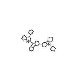 C1=Cc2c(c3cc(-c4ccc5c(c4)c4ccccc4n5-c4cc(-c5ccccc5)c5ccccc5n4)ccc3n2-c2ccccc2)CC1